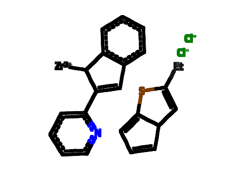 CCC1=CC2C=CC=C2S1.[Cl-].[Cl-].[Zr+2][CH]1C(c2ccccn2)=Cc2ccccc21